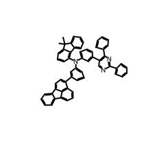 CC1(C)c2ccccc2-c2c(N(c3cccc(-c4cnc(-c5ccccc5)nc4-c4ccccc4)c3)c3cccc(-c4ccc5c6c(cccc46)-c4ccccc4-5)c3)cccc21